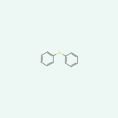 [c]1c[c]c(Sc2ccccc2)cc1